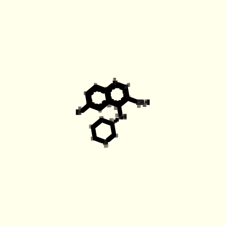 O=C(O)c1nnc2ccc(Br)cc2c1N[C@H]1CCCOC1